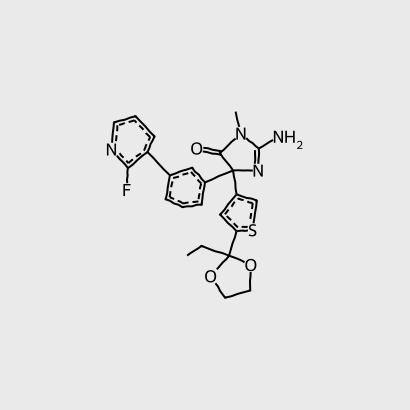 CCC1(c2cc(C3(c4cccc(-c5cccnc5F)c4)N=C(N)N(C)C3=O)cs2)OCCO1